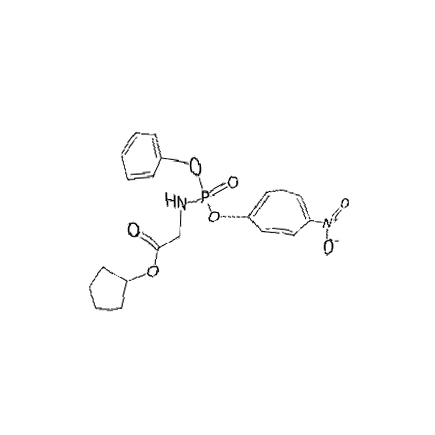 O=C(CNP(=O)(Oc1ccccc1)Oc1ccc([N+](=O)[O-])cc1)OC1CCCC1